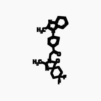 CC1=NC2(CCC(F)(F)CC2)C(=O)N1CC(=O)c1ccc(-n2c(C)nc3ccccc32)cc1